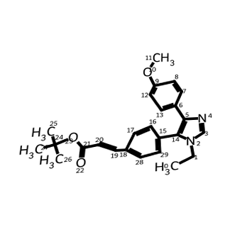 CCn1cnc(-c2ccc(OC)cc2)c1-c1ccc(C=CC(=O)OC(C)(C)C)cc1